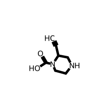 C#CC1CNCCN1C(=O)O